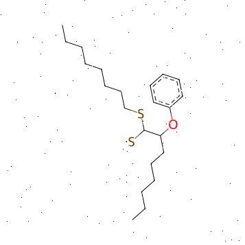 CCCCCCCCSC([S])C(CCCCCC)Oc1ccccc1